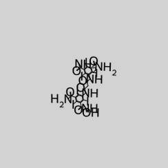 NC(=O)c1c(I)c(NC(=O)CC(=O)Nc2c(I)c(C(N)=O)c(I)c(C(=O)NO)c2I)c(I)c(C(N)=O)c1I